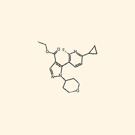 CCOC(=O)c1cnn(C2CCOCC2)c1-c1ccc(C2CC2)nc1F